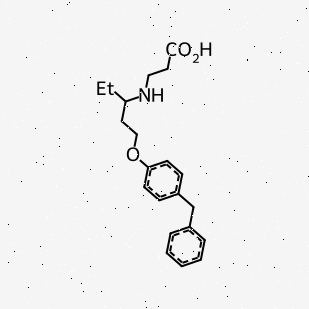 CCC(CCOc1ccc(Cc2ccccc2)cc1)NCCC(=O)O